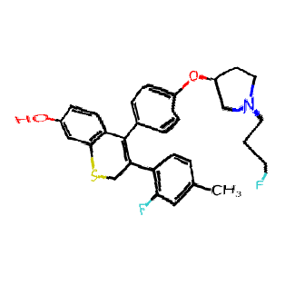 Cc1ccc(C2=C(c3ccc(O[C@H]4CCN(CCCF)C4)cc3)c3ccc(O)cc3SC2)c(F)c1